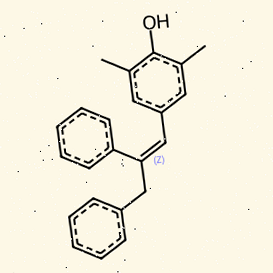 Cc1cc(/C=C(/Cc2ccccc2)c2ccccc2)cc(C)c1O